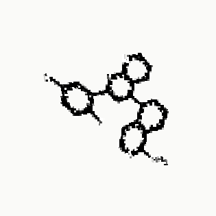 Nc1nccc2c(-c3cc(-c4cc(Cl)ccc4F)nc4ncccc34)cccc12